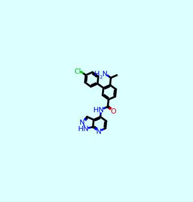 CC(N)c1ccc(C(=O)Nc2ccnc3[nH]ncc23)cc1-c1ccc(Cl)cc1